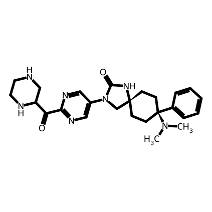 CN(C)[C@]1(c2ccccc2)CC[C@@]2(CC1)CN(c1cnc(C(=O)C3CNCCN3)nc1)C(=O)N2